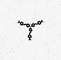 CC(C)c1ccc(/C=C/c2ccc(N(c3ccc(/C=C/c4ccc(C(C)C)cc4)cc3)c3ccc(/C=C/c4ccc(C(C)C)cc4)cc3)cc2)cc1